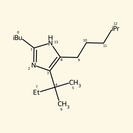 CCC(C)c1nc(C(C)(C)CC)c(CCCC(C)C)[nH]1